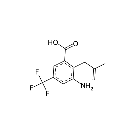 C=C(C)Cc1c(N)cc(C(F)(F)F)cc1C(=O)O